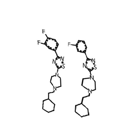 Fc1ccc(-c2nsc(N3CCN(CCC4CCCCC4)CC3)n2)cc1F.Fc1cccc(-c2nsc(N3CCN(CCC4CCCCC4)CC3)n2)c1